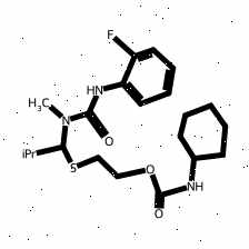 CC(C)C(SCCOC(=O)NC1CCCCC1)N(C)C(=O)Nc1ccccc1F